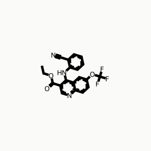 CCOC(=O)c1cnc2ccc(OC(F)(F)F)cc2c1Nc1ccccc1C#N